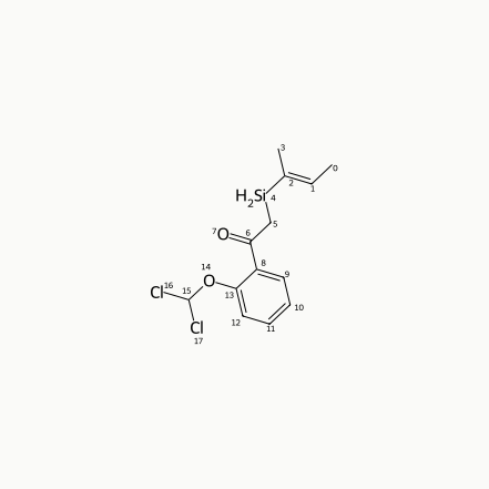 CC=C(C)[SiH2]CC(=O)c1ccccc1OC(Cl)Cl